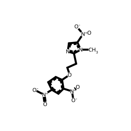 Cn1c([N+](=O)[O-])cnc1CCOc1ccc([N+](=O)[O-])cc1[N+](=O)[O-]